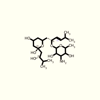 CC(C)/C=C/[C@@H](CC1CC(O)C[C@@](O)(C[C@@H](O)C(C)C)O1)OC1OC(C)C(O)C(N)C1O